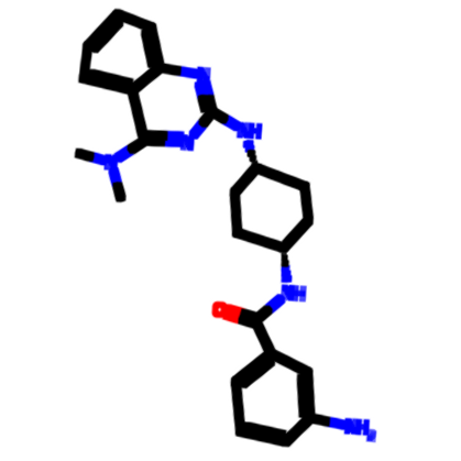 CN(C)c1nc(N[C@H]2CC[C@@H](NC(=O)c3cccc(N)c3)CC2)nc2ccccc12